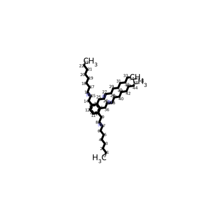 CCCCCCC/C=C/Cc1[c]cc(C/C=C/CCCCCCC)c(C/C=C/CCCCCCC)c1C/C=C/CCCCCCC